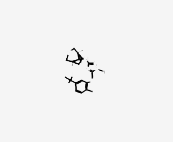 CC(C)n1nc(N[C@@H]2[C@@H]3CC[C@H]2CNC3)nc1Oc1cc(C(C)(F)F)ccc1F